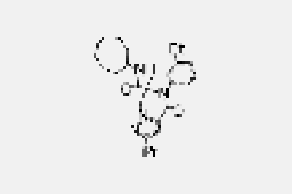 CCc1cccc(N2C(=O)c3cc(C(C)C)nn3CC2(C)C(=O)NC2CCCCCCC2)c1